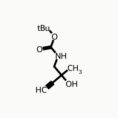 C#CC(C)(O)CNC(=O)OC(C)(C)C